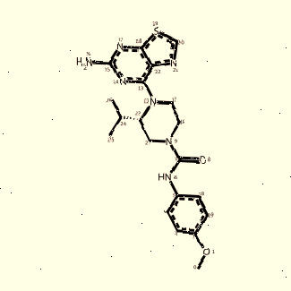 COc1ccc(NC(=O)N2CCN(c3nc(N)nc4scnc34)[C@@H](C(C)C)C2)cc1